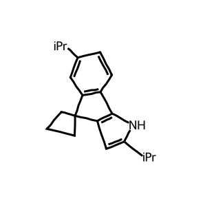 CC(C)c1ccc2c(c1)C1(CCC1)c1cc(C(C)C)[nH]c1-2